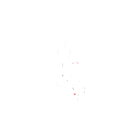 C=C(/C=C\C(=C/C)C1(CN2Cc3ccc(OC)cc3C2=O)NC(O)NC1=O)C(=O)O